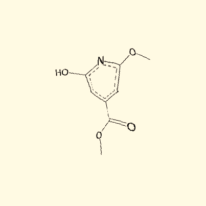 COC(=O)c1cc(O)nc(OC)c1